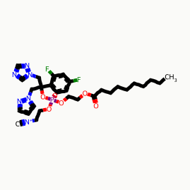 [C-]#[N+]CCOP(=O)(OCCOC(=O)CCCCCCCCC)OC(Cn1cccn1)(Cn1cncn1)c1ccc(F)cc1F